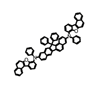 c1ccc(N(c2ccc3cc4c(cc3c2)C(c2ccccc2)(c2ccccc2)c2c-4ccc3cc(N(c4ccccc4)c4cccc5c4oc4ccc6ccccc6c45)ccc23)c2cccc3c2oc2ccc4ccccc4c23)cc1